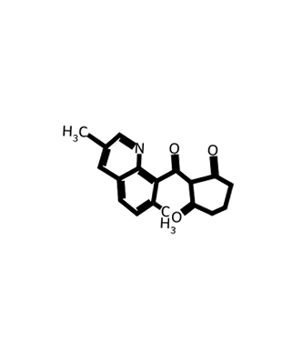 Cc1cnc2c(C(=O)C3C(=O)CCCC3=O)c(C)ccc2c1